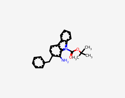 CC(C)(C)OC(=O)n1c2ccccc2c2ccc(Cc3ccccc3)c(N)c21